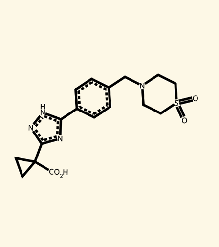 O=C(O)C1(c2n[nH]c(-c3ccc(CN4CCS(=O)(=O)CC4)cc3)n2)CC1